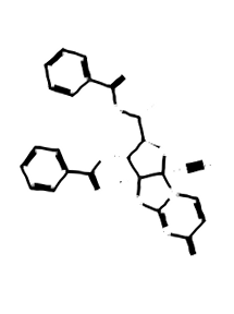 C[C@@H](OC(=O)c1ccccc1)[C@H]1O[C@]2(C#N)[C@@H](Oc3nc(=O)ccn32)[C@@H]1OC(=O)c1ccccc1